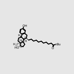 CCCCC(=O)CCCCCCCCCC[C@@H]1Cc2cc(O)ccc2[C@H]2CC[C@]3(C)[C@@H](O)CC[C@H]3[C@H]12